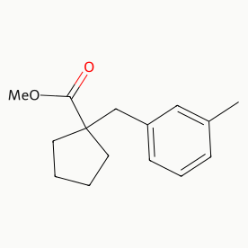 COC(=O)C1(Cc2cccc(C)c2)CCCC1